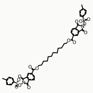 Cc1ccc(S(=O)(=O)ON2C(=O)c3ccc(C(=O)OCCCCCCCCCCCCOC(=O)c4ccc5c(c4)C(=O)N(OS(=O)(=O)c4ccc(C)cc4)C5=O)cc3C2=O)cc1